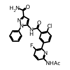 CC(=O)Nc1ccc(F)c(-c2ccc(Cl)c(C(=O)Nc3cc(C(N)=O)nn3-c3ccccc3)c2)n1